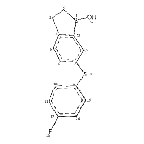 OB1CCc2ccc(Sc3ccc(F)cc3)cc21